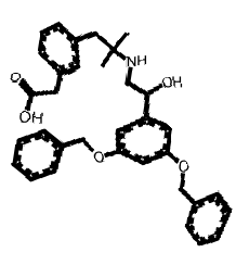 CC(C)(Cc1cccc(CC(=O)O)c1)NCC(O)c1cc(OCc2ccccc2)cc(OCc2ccccc2)c1